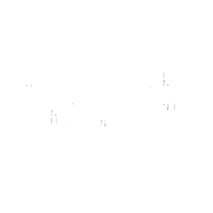 COCCNC(=O)O[C@H]1CCN(c2ccc(C(=O)Nc3ccccc3N)cc2)C1